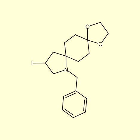 IC1CN(Cc2ccccc2)C2(CCC3(CC2)OCCO3)C1